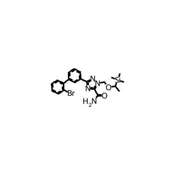 CC(OCn1nc(-c2cccc(-c3ccccc3Br)c2)nc1C(N)=O)[Si](C)(C)C